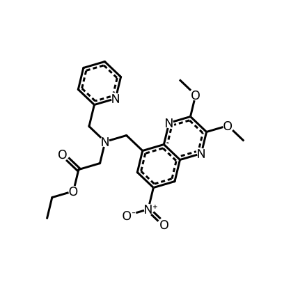 CCOC(=O)CN(Cc1ccccn1)Cc1cc([N+](=O)[O-])cc2nc(OC)c(OC)nc12